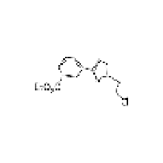 CCOC(=O)c1cccc(-c2ccc(CCCl)s2)c1